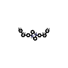 c1cc(-c2ccncc2)nc(-c2ccc(/C3=N/c4ccccc4/C(c4ccc(-c5cccc(-c6ccncc6)n5)cc4)=N\c4ccccc43)cc2)c1